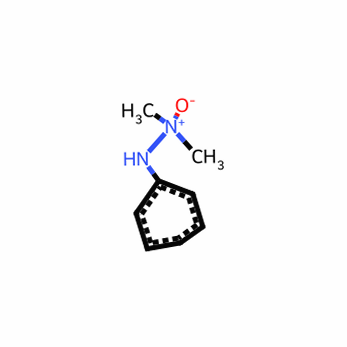 C[N+](C)([O-])Nc1ccccc1